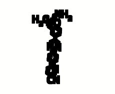 CN(Cc1cccc(-c2cnc(N3CCN(c4ccc(C#N)cn4)CC3)nc2)c1)C(=O)CN